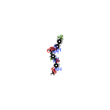 CC(C)(C)OC(=O)Nc1ccc(-c2nc(-c3ccc(CC(NC(=O)Nc4ccc(-c5ccc(C(F)(F)F)cc5)cn4)C(=O)O)cc3F)no2)cc1